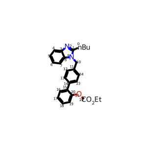 CCCCc1nc2ccccc2n1Cc1ccc(-c2ccccc2OC(=O)OCC)cc1